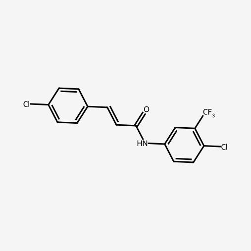 O=C(C=Cc1ccc(Cl)cc1)Nc1ccc(Cl)c(C(F)(F)F)c1